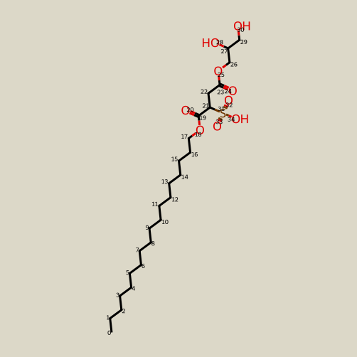 CCCCCCCCCCCCCCCCCCOC(=O)C(CC(=O)OCC(O)CO)S(=O)(=O)O